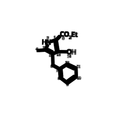 CCOC(=O)c1[nH]c(C)c(Cc2ccccc2)c1O